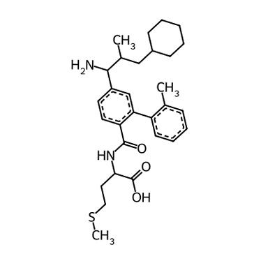 CSCCC(NC(=O)c1ccc(C(N)C(C)CC2CCCCC2)cc1-c1ccccc1C)C(=O)O